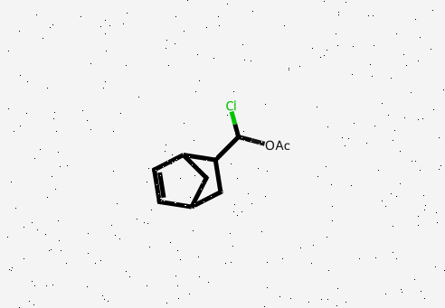 CC(=O)OC(Cl)C1CC2C=CC1C2